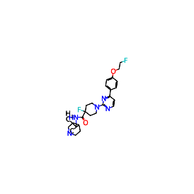 CC1(NC(=O)C2(F)CCN(c3nccc(-c4ccc(OCCF)cc4)n3)CC2)CN2CCC1CC2